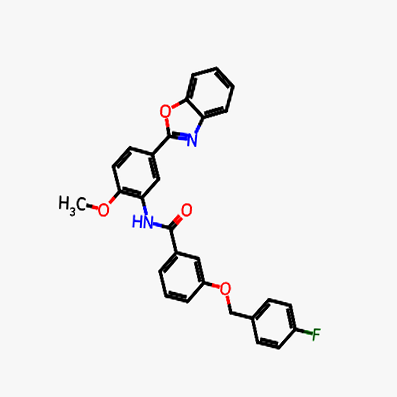 COc1ccc(-c2nc3ccccc3o2)cc1NC(=O)c1cccc(OCc2ccc(F)cc2)c1